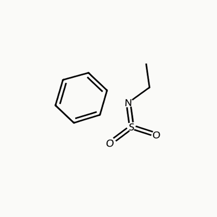 CCN=S(=O)=O.c1ccccc1